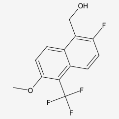 COc1ccc2c(CO)c(F)ccc2c1C(F)(F)F